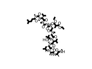 CCOC(=O)C(C[C@H](C(=O)N(C)[C@@H](CC(C)(C)O)C(=O)N[C@H](C(=O)N(C)[C@@H](CC(C)C)C(=O)N[C@H](C)C(=O)N[C@H](C)C(=O)NC)C(C)C)N(C)C(=O)NC(=O)N(C)C(=O)[C@H](C(C)C)N(C)C(=O)N(C)C(=O)CCC(C)C)C(=O)OCC